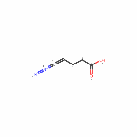 [N-]=[N+]=C=CCCC(=O)O